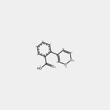 O=C(O)c1ccccc1C1=COOC=C1